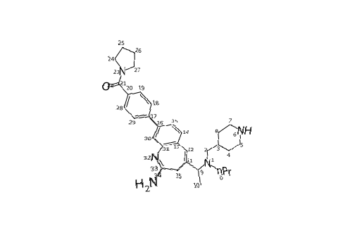 CCCN(CC1CCNCC1)C(C)C1=Cc2ccc(-c3ccc(C(=O)N4CCCC4)cc3)cc2N=C(N)C1